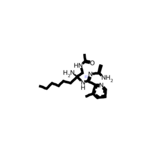 C=C(N)/N=C(/N[C@](N)(CCCCCC)CNC(C)=O)c1ncccc1C